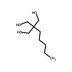 CCCCCC(CO)(CO)CO